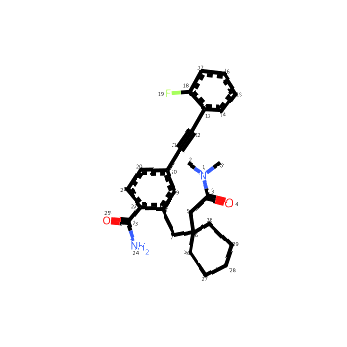 CN(C)C(=O)CC1(Cc2cc(C#Cc3ccccc3F)ccc2C(N)=O)CCCCC1